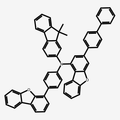 CC1(C)c2ccccc2-c2ccc(N(c3ccc(-c4cccc5c4oc4ccccc45)cc3)c3cc(-c4ccc(-c5ccccc5)cc4)cc4oc5ccccc5c34)cc21